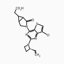 C=C[C@H]1CCN1c1nc(N2CC3C(CC(=O)O)C3C2=O)c2scc(Cl)c2n1